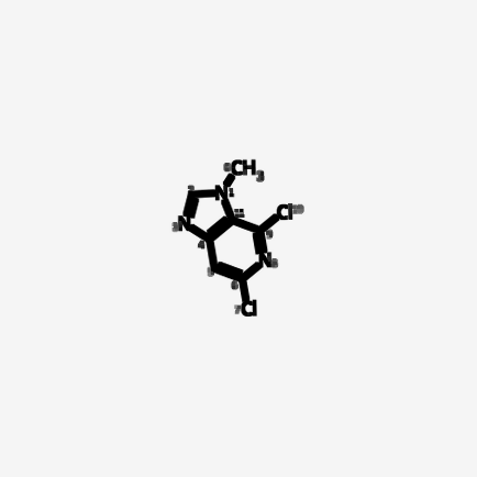 Cn1cnc2cc(Cl)nc(Cl)c21